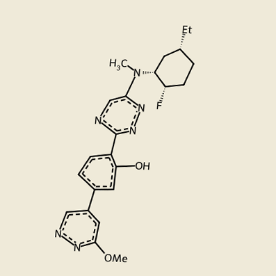 CC[C@@H]1CC[C@H](F)[C@H](N(C)c2cnc(-c3ccc(-c4cnnc(OC)c4)cc3O)nn2)C1